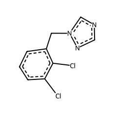 Clc1cccc(Cn2cncn2)c1Cl